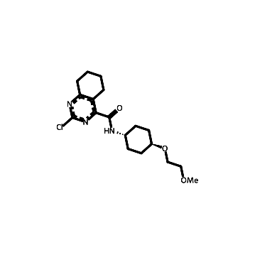 COCCO[C@H]1CC[C@H](NC(=O)c2nc(Cl)nc3c2CCCC3)CC1